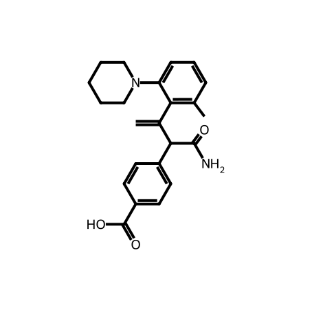 C=C(c1c(C)cccc1N1CCCCC1)C(C(N)=O)c1ccc(C(=O)O)cc1